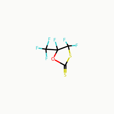 FC(F)(F)C1(F)OC(=S)SC1(F)F